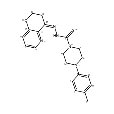 Cc1ccc(N2CCN(C(=S)N/N=C3/CCOc4cccnc43)CC2)cc1